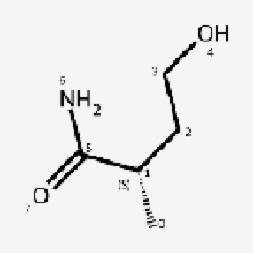 C[C@@H](CCO)C(N)=O